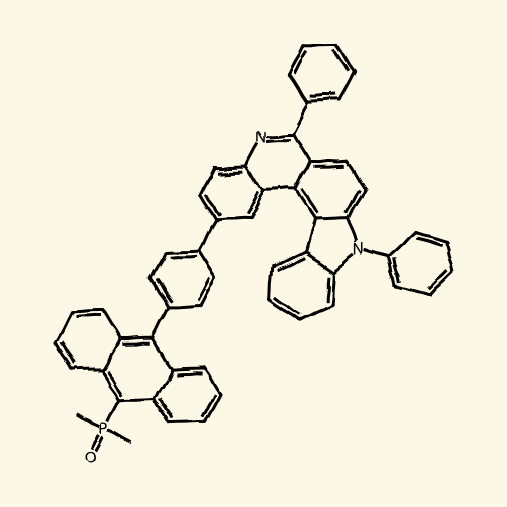 CP(C)(=O)c1c2ccccc2c(-c2ccc(-c3ccc4nc(-c5ccccc5)c5ccc6c(c7ccccc7n6-c6ccccc6)c5c4c3)cc2)c2ccccc12